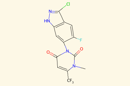 Cn1c(C(F)(F)F)cc(=O)n(-c2cc3[nH]nc(Cl)c3cc2F)c1=O